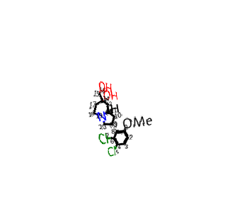 COc1ccc(Cl)c(Cl)c1[C@H]1C[C@H]2CC(O)(CO)CCN2C1